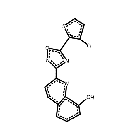 Oc1cccc2ccc(-c3noc(-c4sccc4Cl)n3)nc12